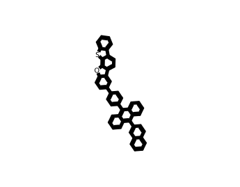 c1ccc2cc(-c3c4ccccc4c(-c4ccc(-c5ccc6oc7c(ccc8c9ccccc9sc87)c6c5)cc4)c4ccccc34)ccc2c1